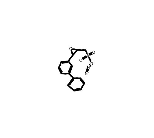 [N-]=[N+]=NS(=O)(=O)CC1OC1c1cccc(-c2ccccc2)c1